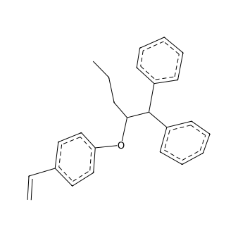 C=Cc1ccc(OC(CCC)C(c2ccccc2)c2ccccc2)cc1